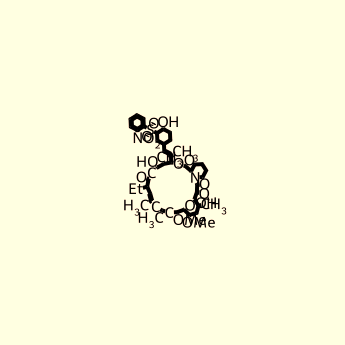 CCC1/C=C(\C)CC(C)CC(OC)C2OC(O)(C(=O)C(=O)N3CCCCC3C(=O)OC(C(C)=CC3CCC(O)C(S(=O)(=O)c4ccccc4[N+](=O)[O-])C3)C(C)C(O)CC1=O)C(C)CC2OC